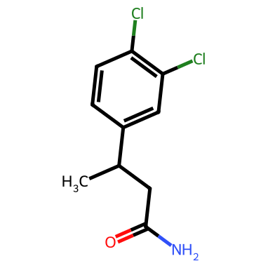 CC(CC(N)=O)c1ccc(Cl)c(Cl)c1